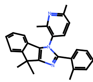 Cc1ccc(-n2c(-c3ccccc3C)nc3c2-c2ccccc2C3(C)C)c(C)n1